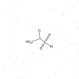 CCS(=O)(=O)C(Cl)C(=O)O